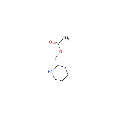 CC(=O)OC[C@@H]1CCCCN1